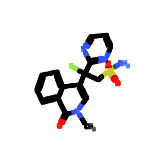 Cn1cc(C(F)(CS(N)(=O)=O)c2ncccn2)c2ccccc2c1=O